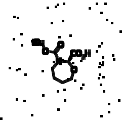 CC(C)(C)OC(=O)N1CCCCO[C@@H]1C(=O)O